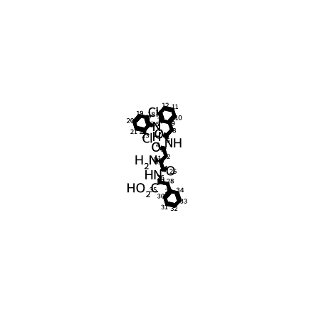 N[C@@H](CC(=O)NC(=O)Cc1ccccc1Nc1c(Cl)cccc1Cl)C(=O)N[C@@H](Cc1ccccc1)C(=O)O